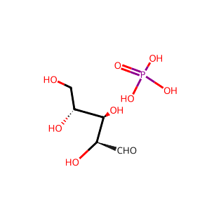 O=C[C@@H](O)[C@H](O)[C@H](O)CO.O=P(O)(O)O